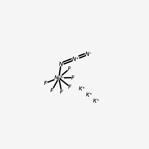 [K+].[K+].[K+].[N-]=[N+]=[N][Ni-3]([F])([F])([F])([F])([F])[F]